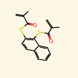 C=C(C)C(=O)Sc1ccc2ccccc2c1SC(=O)C(=C)C